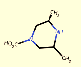 CC1CN(C(=O)O)C[C@@H](C)N1